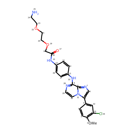 COc1ccc(-c2cnc3c(Nc4ccc(NC(=O)COCCOCCN)cc4)nccn23)cc1Cl